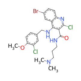 COc1ccc(CNc2c(C(=O)NCCCN(C)C)c(Cl)nc3ccc(Br)cc23)cc1Cl